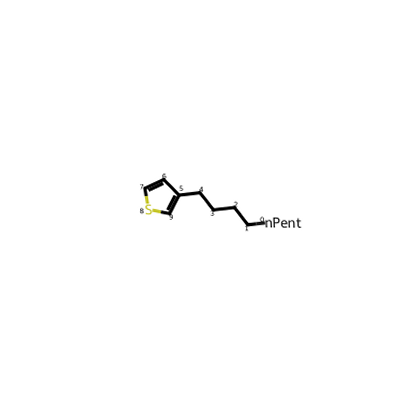 CCCCCCCCCc1ccsc1